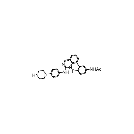 CC(=O)Nc1ccc(F)c(-c2cccc3cnc(Nc4ccc(N5CCNCC5)cc4)nc23)c1